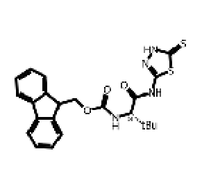 CC(C)(C)[C@H](NC(=O)OCC1c2ccccc2-c2ccccc21)C(=O)Nc1n[nH]c(=S)s1